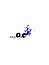 CC(C)OC(=O)Nc1c(-c2ccc(O[C@H]3CCC[C@H](C(=O)O)C3)cn2)nnn1C